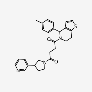 Cc1ccc(C2c3ccsc3CCN2C(=O)CCC(=O)N2CCC(c3cccnc3)C2)cc1